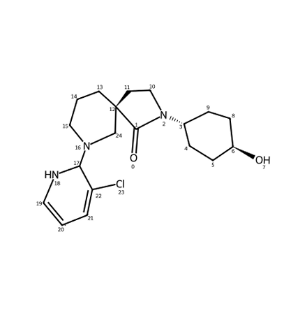 O=C1N([C@H]2CC[C@H](O)CC2)CC[C@@]12CCCN(C1NC=[C]C=C1Cl)C2